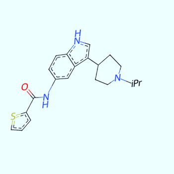 CC(C)N1CCC(c2c[nH]c3ccc(NC(=O)c4cccs4)cc23)CC1